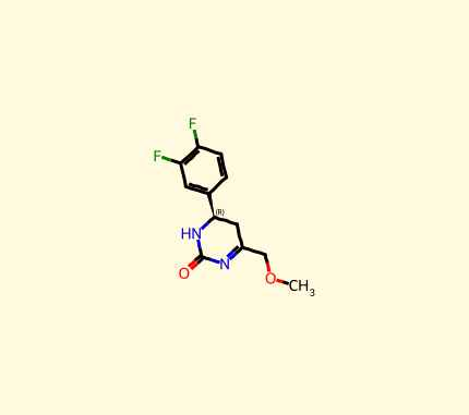 COCC1=NC(=O)N[C@@H](c2ccc(F)c(F)c2)C1